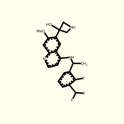 COc1cc2nccc(NC(C)c3cccc(C(F)F)c3F)c2cc1C1(O)CNC1